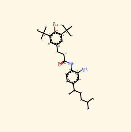 CC(C)CCC(C)c1ccc(NC(=O)CCc2cc(C(C)(C)C)c(O)c(C(C)(C)C)c2)c(N)c1